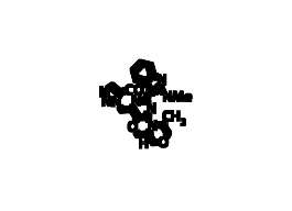 CNc1nc2ccccc2n1-c1nc(Cn2nncc2C(=O)O)c2c(n1)N1[C@@H](COC[C@H]1C)CO2